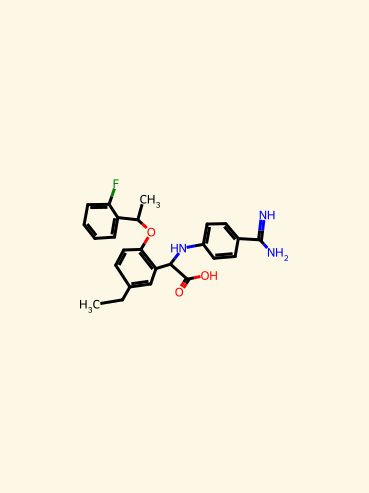 CCc1ccc(OC(C)c2ccccc2F)c(C(Nc2ccc(C(=N)N)cc2)C(=O)O)c1